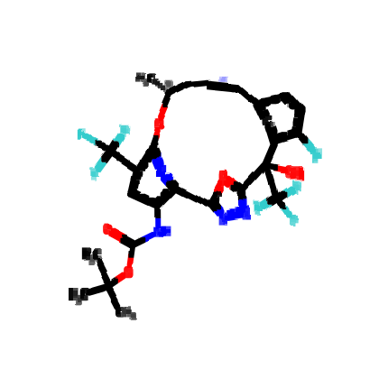 C[C@@H]1C/C=C\c2ccc(F)c(c2)C(O)(C(F)(F)F)c2nnc(o2)-c2nc(c(C(F)(F)F)cc2NC(=O)OC(C)(C)C)O1